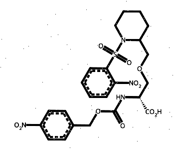 O=C(N[C@H](COCC1CCCCN1S(=O)(=O)c1ccccc1[N+](=O)[O-])C(=O)O)OCc1ccc([N+](=O)[O-])cc1